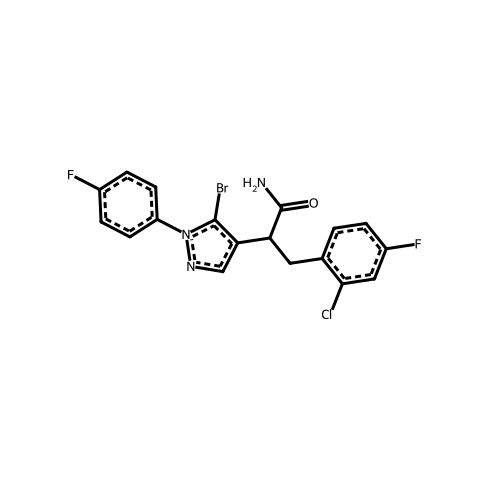 NC(=O)C(Cc1ccc(F)cc1Cl)c1cnn(-c2ccc(F)cc2)c1Br